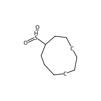 O=[SH](=O)C1CCCCCCCCC1